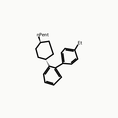 CCCCC[C@H]1CC[C@H](c2ccccc2-c2ccc(CC)cc2)CC1